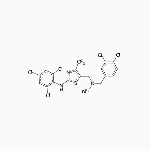 CCCN(Cc1ccc(Cl)c(Cl)c1)Cc1sc(Nc2c(Cl)cc(Cl)cc2Cl)nc1C(F)(F)F